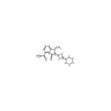 CC1c2cccc(C(N)=O)c2C(=O)N1C1CN(C2CCCCC2)C1